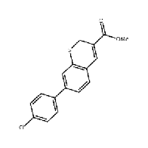 COC(=O)C1=Cc2ccc(-c3ccc(Cl)cc3)cc2SC1